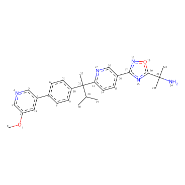 COc1cncc(-c2ccc(C(C)(c3ccc(-c4noc(C(C)(C)N)n4)cn3)C(C)C)cc2)c1